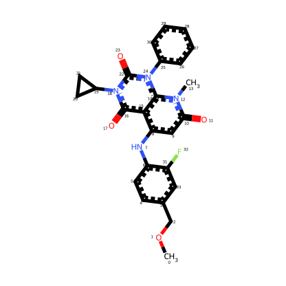 COCc1ccc(Nc2cc(=O)n(C)c3c2c(=O)n(C2CC2)c(=O)n3-c2ccccc2)c(F)c1